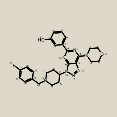 Oc1cccc(-c2nc(N3CCOCC3)c3nnn(C4CCN(Cc5ccc(F)cc5)CC4)c3n2)c1